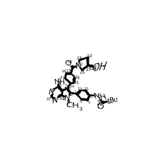 Cn1c(-c2ccc(NC(=O)C(C)(C)C)cc2)c(-c2ccc(C(=O)N3CCC(O)C3)cc2)c2c(N)ncnc21